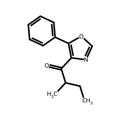 CCC(C)C(=O)c1ncoc1-c1ccccc1